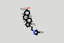 CC[C@]12CC[C@@](C)(O)C[C@H]1CC[C@H]1[C@@H]3CC[C@H](CCn4cc(C#N)cn4)[C@@]3(C)CC[C@@H]12